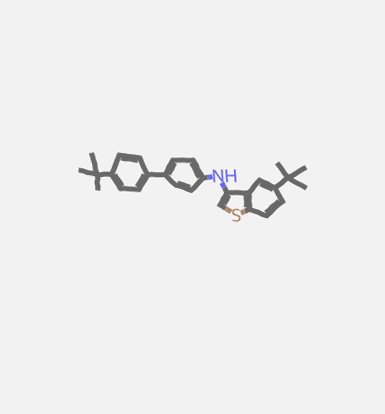 CC(C)(C)c1ccc(-c2ccc(Nc3csc4ccc(C(C)(C)C)cc34)cc2)cc1